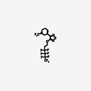 FC(F)(F)N1CCC=C(c2nsnc2OCCC(F)(F)C(F)(F)C(F)(F)C(F)(F)F)C1